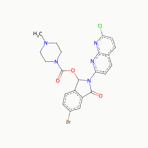 CN1CCN(C(=O)OC2c3ccc(Br)cc3C(=O)N2c2ccc3ccc(Cl)nc3n2)CC1